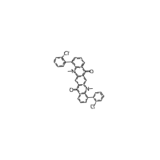 Cn1c2cc3c(=O)c4cccc(-c5ccccc5Cl)c4n(C)c3cc2c(=O)c2cccc(-c3ccccc3Cl)c21